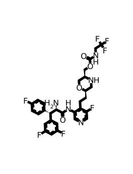 N[C@H](C(=O)Nc1cncc(F)c1CC[C@@H]1CN[C@H](COC(=O)NCC(F)(F)F)CO1)[C@@H](c1ccc(F)cc1)c1cc(F)cc(F)c1